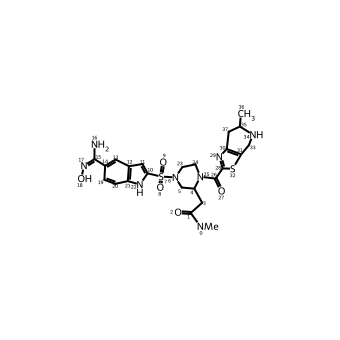 CNC(=O)CC1CN(S(=O)(=O)c2cc3cc(/C(N)=N\O)ccc3[nH]2)CCN1C(=O)c1nc2c(s1)CNC(C)C2